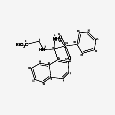 CCOC(=O)CNC(N)(c1cccc2ccccc12)S(=O)(=O)c1ccccc1